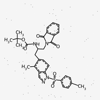 Cc1ccc(S(=O)(=O)n2ncc3c(C)c(CC(CN4C(=O)c5ccccc5C4=O)NC(=O)OC(C)(C)C)ccc32)cc1